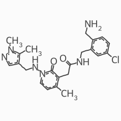 Cc1ccn(NCc2cnn(C)c2C)c(=O)c1CC(=O)NCc1cc(Cl)ccc1CN